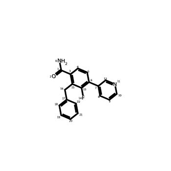 NC(=O)c1ccc(-c2cccnc2)c(F)c1Cc1ccccc1